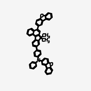 CC1(C)c2cc(-c3ccc(N(c4ccccc4)c4ccc5oc6ccccc6c5c4)cc3)ccc2-c2c1cc(-c1ccc3oc4ccccc4c3c1)c1ccccc21